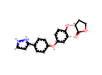 O=C1OCC[C@H]1Oc1ccc(Oc2ccc(-c3ccn[nH]3)cc2)cc1